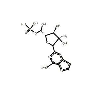 CNc1nc(C2O[C@H](C(O)OP(=O)(O)O)[C@@H](O)[C@@]2(C)O)nc2ccoc12